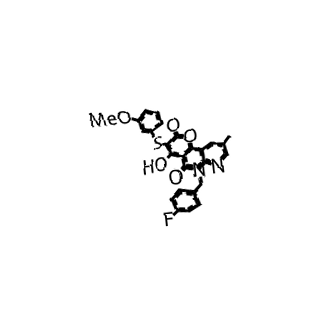 COc1cccc(Sc2c(O)c3c(=O)n(Cc4ccc(F)cc4)c4ncc(C)cc4c3oc2=O)c1